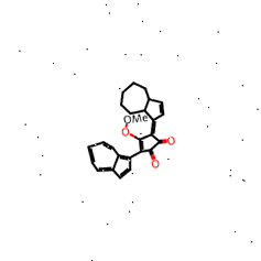 COOC1=C(c2ccc3cccccc2-3)C(=O)C(=O)/C1=C1\C=CC2CCCCCC12